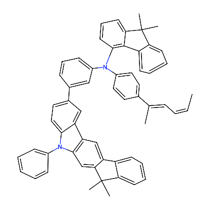 C/C=C\C=C(/C)c1ccc(N(c2cccc(-c3ccc4c(c3)c3cc5c(cc3n4-c3ccccc3)C(C)(C)c3ccccc3-5)c2)c2cccc3c2-c2ccccc2C3(C)C)cc1